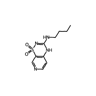 CCCCNC1=NS(=O)(=O)c2cnccc2N1